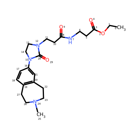 CCOC(=O)CCNC(=O)CCN1CCN(c2ccc3c(c2)CCN(C)CC3)C1=O